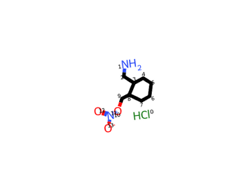 Cl.NCC1CCCCC1CO[N+](=O)[O-]